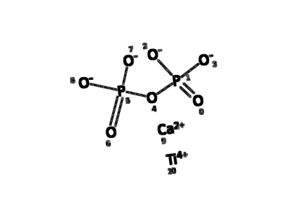 O=P([O-])([O-])OP(=O)([O-])[O-].[Ca+2].[Ti+4]